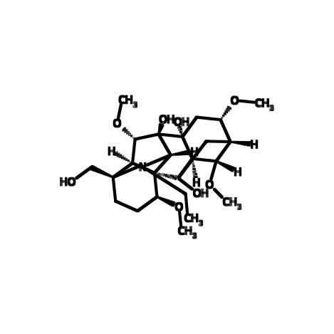 CCN1C[C@]2(CO)CC[C@H](OC)[C@@]34[C@@H]2[C@H](OC)[C@@](O)([C@@H]13)[C@@]1(O)C[C@H](OC)[C@H]2CC4(O)[C@@H]1[C@H]2OC